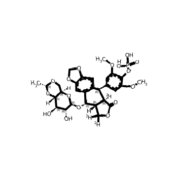 [2H]C1([2H])OC(=O)[C@]2([2H])[C@H](c3cc(OC)c(OP(=O)(O)O)c(OC)c3)c3cc4c(cc3[C@@H](O[C@@H]3O[C@@H]5CO[C@@H](C)O[C@H]5[C@H](O)[C@H]3O)[C@@H]12)OCO4